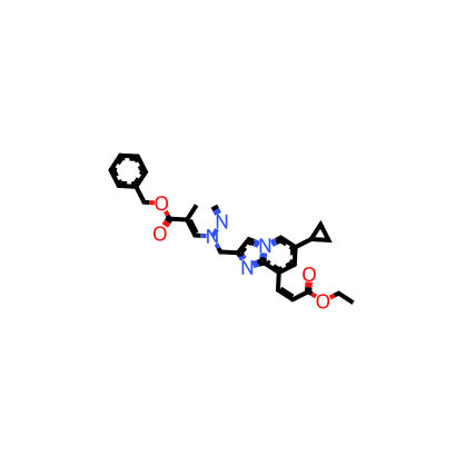 C=NN(/C=C(\C)C(=O)OCc1ccccc1)Cc1cn2cc(C3CC3)cc(/C=C\C(=O)OCC)c2n1